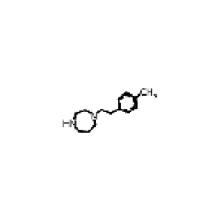 Cc1ccc(CCN2CCCNCC2)cc1